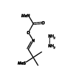 CNC(=O)O/N=C/C(C)(C)SC.NN